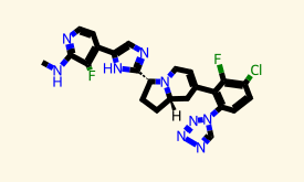 CNc1nccc(-c2cnc([C@H]3CC[C@H]4CC(c5c(-n6cnnn6)ccc(Cl)c5F)=CCN43)[nH]2)c1F